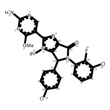 COc1nc(N)ncc1-c1nc2c(n1C(C)C)C(c1ccc(Cl)cc1)N(c1cccc(Cl)c1F)C2=O